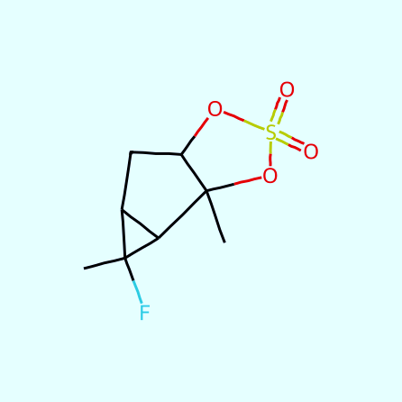 CC1(F)C2CC3OS(=O)(=O)OC3(C)C21